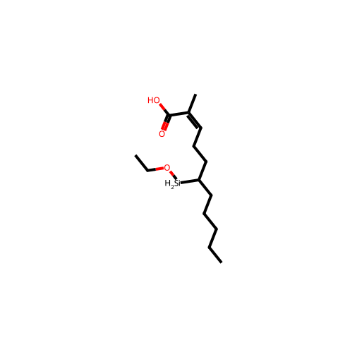 CCCCCC(CCC=C(C)C(=O)O)[SiH2]OCC